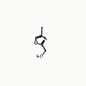 Cc1coc(CO)n1